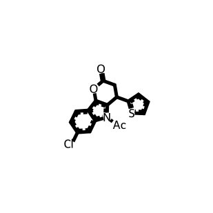 CC(=O)n1c2c(c3ccc(Cl)cc31)OC(=O)CC2c1cccs1